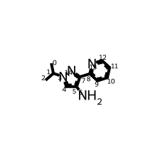 CC(C)n1cc(N)c(-c2ccccn2)n1